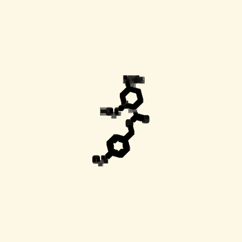 CC(=O)N[C@H]1CC[C@H](C(=O)OCc2ccc([N+](=O)[O-])cc2)N(C(=O)O)C1